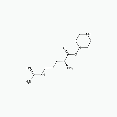 N=C(N)NCCC[C@H](N)C(=O)ON1CCNCC1